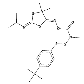 CC(C)N=C1SC(=NOC(=O)N(C)SSc2ccc(C(C)(C)C)cc2)C(C)(C)S1